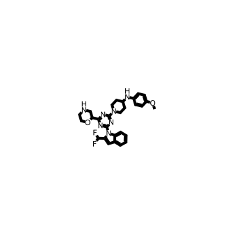 COc1ccc(NC2CCN(c3nc(C4CNCCO4)nc(-n4c(C(F)F)cc5ccccc54)n3)CC2)cc1